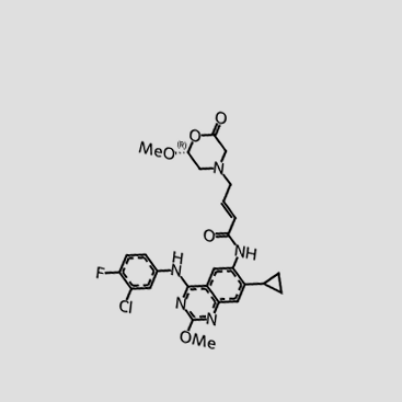 COc1nc(Nc2ccc(F)c(Cl)c2)c2cc(NC(=O)C=CCN3CC(=O)O[C@@H](OC)C3)c(C3CC3)cc2n1